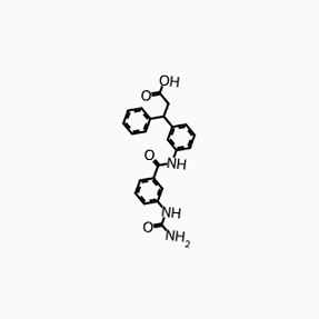 NC(=O)Nc1cccc(C(=O)Nc2cccc(C(CC(=O)O)c3ccccc3)c2)c1